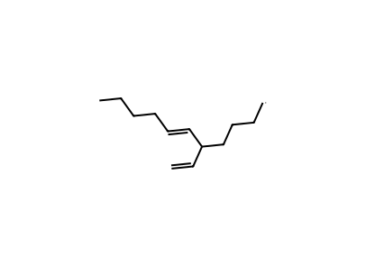 [CH2]CCCC(C=C)C=CCCCC